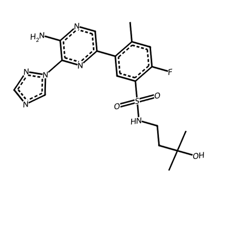 Cc1cc(F)c(S(=O)(=O)NCCC(C)(C)O)cc1-c1cnc(N)c(-n2cncn2)n1